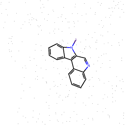 In1c2ccccc2c2c3ccccc3ncc21